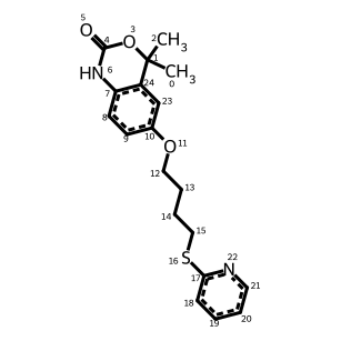 CC1(C)OC(=O)Nc2ccc(OCCCCSc3ccccn3)cc21